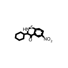 O=C1c2cc([N+](=O)[O-])ccc2SNC1C1CCCCC1